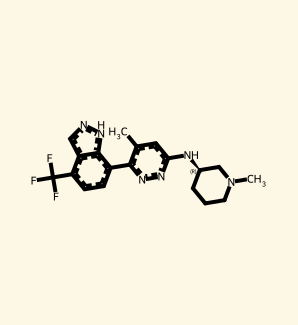 Cc1cc(N[C@@H]2CCCN(C)C2)nnc1-c1ccc(C(F)(F)F)c2cn[nH]c12